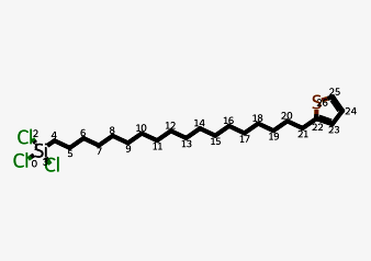 Cl[Si](Cl)(Cl)CCCCCCCCCCCCCCCCCCc1cccs1